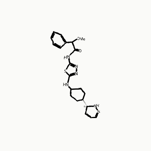 COC(C(=O)Nc1nnc(NC2CCC([C@H]3C=CC=NN3)CC2)s1)c1ccccc1